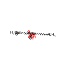 CCCCCCCCCCCCCCCC(=O)O[C@H](COC(=O)CCCCCCCCCSC(C)=O)COP(=O)(O)O